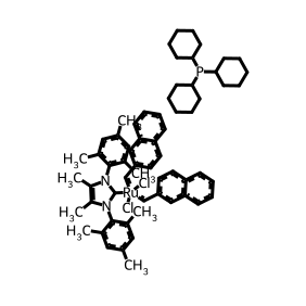 C1CCC(P(C2CCCCC2)C2CCCCC2)CC1.CC1=C(C)N(c2c(C)cc(C)cc2C)[CH]([Ru]([Cl])([Cl])(=[CH]c2ccc3ccccc3c2)=[CH]c2ccc3ccccc3c2)N1c1c(C)cc(C)cc1C